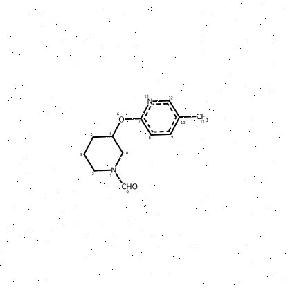 O=CN1CCCC(Oc2ccc(C(F)(F)F)cn2)C1